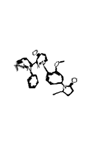 COc1cc(N2C(=O)CCC2C)ccc1-n1ccc(=O)c(-c2ccnn2-c2ccccc2)n1